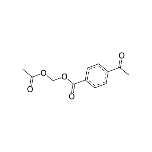 CC(=O)OCOC(=O)c1ccc(C(C)=O)cc1